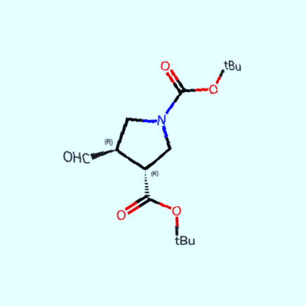 CC(C)(C)OC(=O)[C@H]1CN(C(=O)OC(C)(C)C)C[C@@H]1C=O